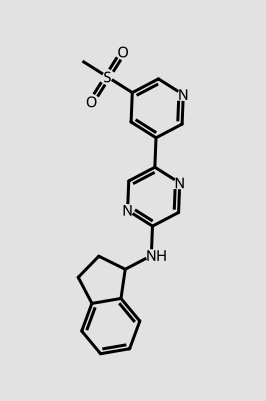 CS(=O)(=O)c1cncc(-c2cnc(NC3CCc4ccccc43)cn2)c1